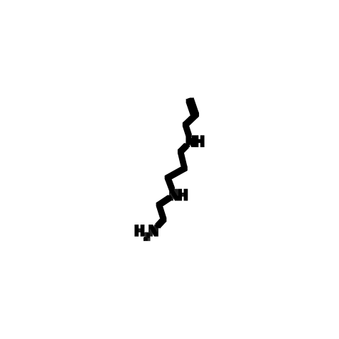 C=CCNCCCNCCN